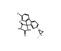 C[C@H]1C[C@H]1c1ccc2c(c1)C1(NC(=O)NC1=O)c1cc(F)ccc1-2